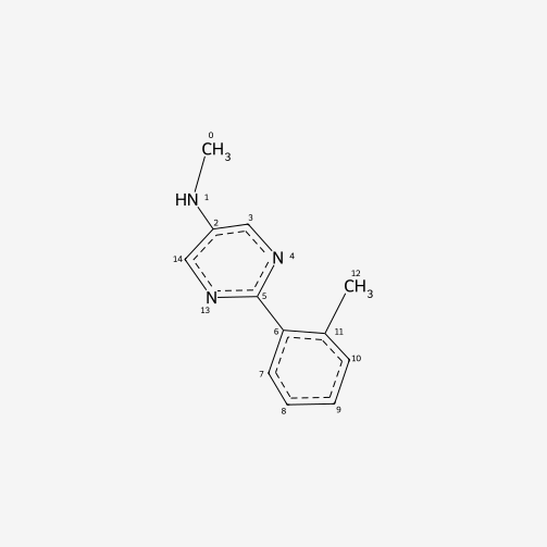 CNc1cnc(-c2ccccc2C)nc1